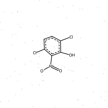 O=[N+]([O-])c1c(Cl)ccc(Cl)c1O